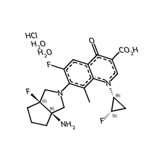 Cc1c(N2C[C@]3(N)CCC[C@]3(F)C2)c(F)cc2c(=O)c(C(=O)O)cn([C@@H]3C[C@@H]3F)c12.Cl.O.O